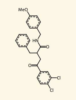 COc1ccc(CNC(=O)C(CC(=O)c2ccc(Cl)c(Cl)c2)Cc2ccccc2)cc1